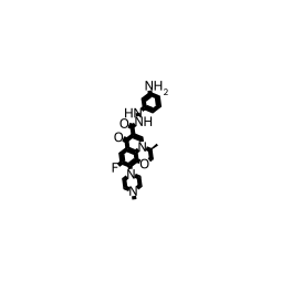 C[C@H]1COc2c(N3CCN(C)CC3)c(F)cc3c(=O)c(C(=O)NNc4cccc(N)c4)cn1c23